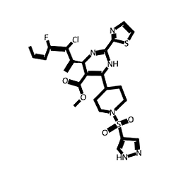 C=C(/C(Cl)=C(F)\C=C/C)[C@H]1N=C(c2nccs2)NC(C2CCN(S(=O)(=O)c3cn[nH]c3)CC2)=C1C(=O)OC